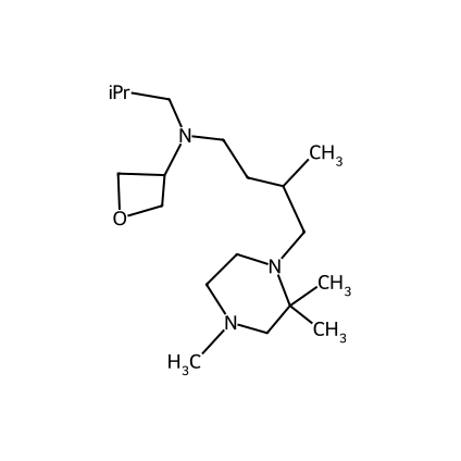 CC(C)CN(CCC(C)CN1CCN(C)CC1(C)C)C1COC1